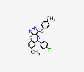 Cc1ccc(Sc2ncnc3c2N=C(c2ccc(F)cc2)c2cc(C)ccc2S3)cc1